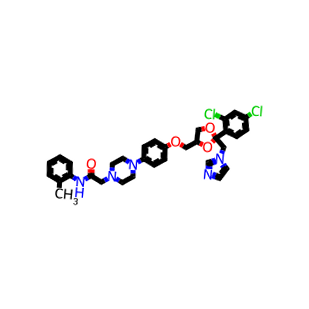 Cc1ccccc1NC(=O)CN1CCN(c2ccc(OCC3COC(Cn4ccnc4)(c4ccc(Cl)cc4Cl)O3)cc2)CC1